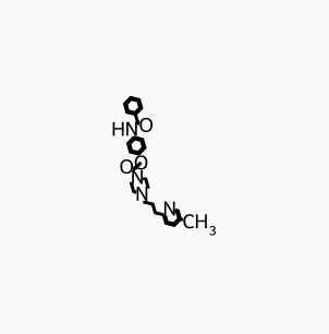 Cc1ccc(CCCN2CCN(C(=O)Oc3ccc(NC(=O)c4ccccc4)cc3)CC2)nc1